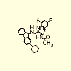 CC(=O)N[C@@H](Cc1cc(F)cc(F)c1)[C@@H](N)CNC1c2ccccc2-c2ccc(C3CCCCC3)cc21